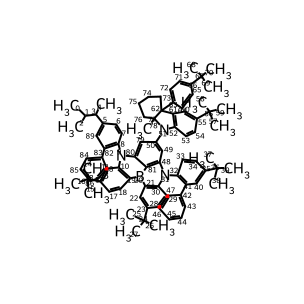 CC(C)C(C)c1ccc(N2c3cc(C(C)(C)C)ccc3B3c4cc(C(C)(C)C)ccc4N(c4ccc(C(C)(C)C)cc4-c4ccccc4)c4cc(N5c6ccc(C(C)(C)C)cc6C6(c7ccc(C(C)(C)C)cc7)CCCCC56C)cc2c43)c(-c2ccccc2)c1